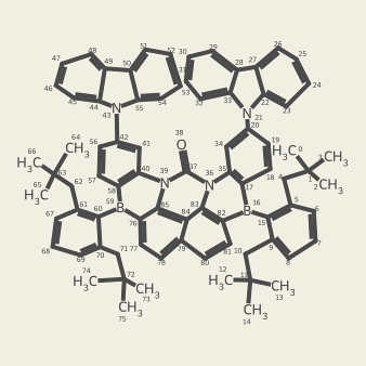 CC(C)(C)Cc1cccc(CC(C)(C)C)c1B1c2ccc(-n3c4ccccc4c4ccccc43)cc2N2C(=O)N3c4cc(-n5c6ccccc6c6ccccc65)ccc4B(c4c(CC(C)(C)C)cccc4CC(C)(C)C)c4ccc5ccc1c2c5c43